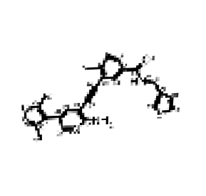 Cc1ccc(C(=O)NCc2ccsc2)cc1C#Cc1cc(-c2c(C)noc2C)cnc1N